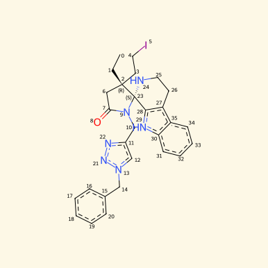 CC[C@]1(CCI)CC(=O)N(Cc2cn(Cc3ccccc3)nn2)[C@@]12NCCc1c2[nH]c2ccccc12